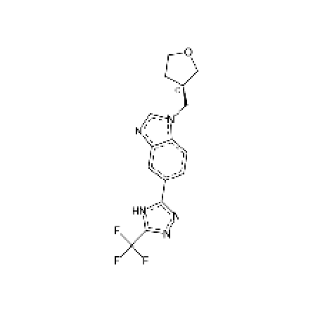 FC(F)(F)c1nnc(-c2ccc3c(c2)ncn3C[C@H]2CCOC2)[nH]1